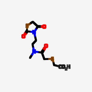 CN(CCN1C(=O)CSC1=O)C(=O)CSCC(=O)O